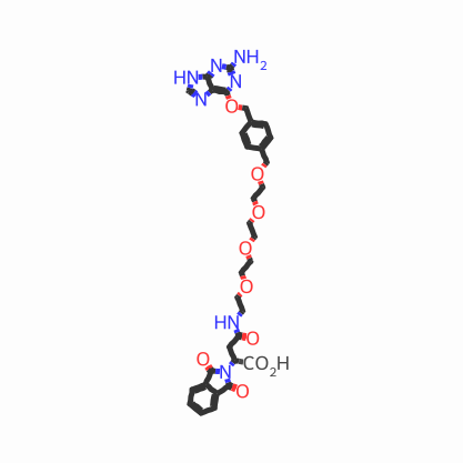 Nc1nc(OCc2ccc(COCCOCCOCCOCCNC(=O)CC(C(=O)O)N3C(=O)c4ccccc4C3=O)cc2)c2nc[nH]c2n1